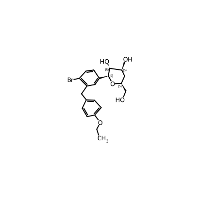 CCOc1ccc(Cc2cc([C@@H]3O[C@H](CO)C[C@H](O)[C@H]3O)ccc2Br)cc1